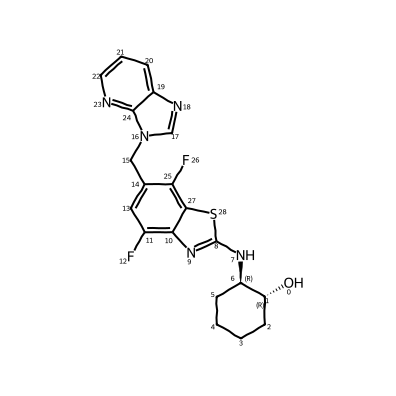 O[C@@H]1CCCC[C@H]1Nc1nc2c(F)cc(Cn3cnc4cccnc43)c(F)c2s1